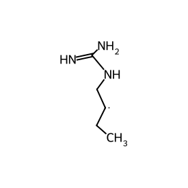 CC[CH]CNC(=N)N